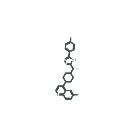 C[C@@H](c1nnc(-c2ccc(Cl)cc2)[nH]1)C1CCC(c2ccnc3ccc(F)cc23)CC1